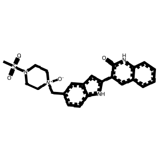 CS(=O)(=O)N1CC[N+]([O-])(Cc2ccc3[nH]c(-c4cc5ccccc5[nH]c4=O)cc3c2)CC1